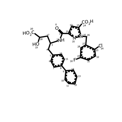 O=C(NC(Cc1ccc(-c2ccccc2)cc1)CC(O)C(=O)O)c1cc(C(=O)O)n(Cc2cc(F)ccc2Cl)n1